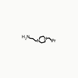 CC(C)CN1CCN(CCCN)CC1